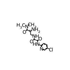 CN(C)C(=O)[C@@H](N)CNC(=O)C(=O)Nc1ccc(Cl)cn1